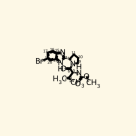 COC(=O)N[C@H](C(=O)N1CCC[C@H]1c1nc2ccc(Br)cc2[nH]1)C(C)C